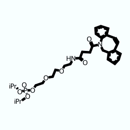 CC(C)OP(=O)(OCCOCCOCCNC(=O)CCC(=O)N1Cc2ccccc2C#Cc2ccccc21)OC(C)C